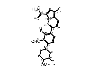 COC1CCN(c2ccc(-c3ccc4c(Cl)cc(C(N)=O)n4n3)c(F)c2C=O)CC1F